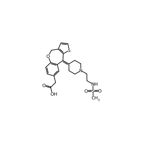 CS(=O)(=O)NCCN1CCC(=C2c3cc(CC(=O)O)ccc3OCc3ccsc32)CC1